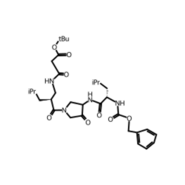 CC(C)C[C@@H](CNC(=O)CC(=O)OC(C)(C)C)C(=O)N1CC(=O)C(NC(=O)[C@H](CC(C)C)NC(=O)OCc2ccccc2)C1